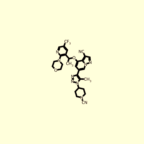 Cc1c(-c2cc(OC(C)c3cc(C(F)(F)F)cnc3N3CCOCC3)c3c(C#N)cnn3c2)nnn1C1CCN(C#N)CC1